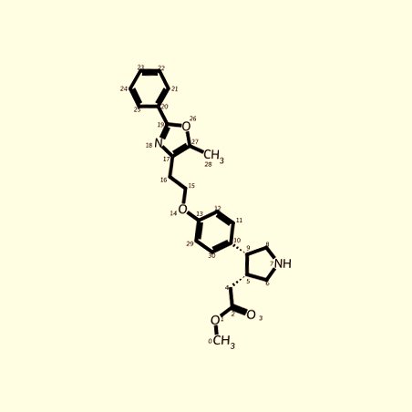 COC(=O)C[C@H]1CNC[C@H]1c1ccc(OCCc2nc(-c3ccccc3)oc2C)cc1